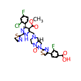 COC(=O)C1=C(CN2CCN3C(=O)N(c4nc(-c5ccc(C(=O)O)cc5F)cs4)C[C@@H]3C2)NC(c2nccs2)=N[C@H]1c1ccc(F)cc1Cl